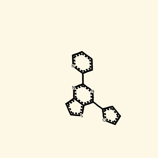 c1ccc(-c2nc(-c3ccco3)c3sccc3n2)nc1